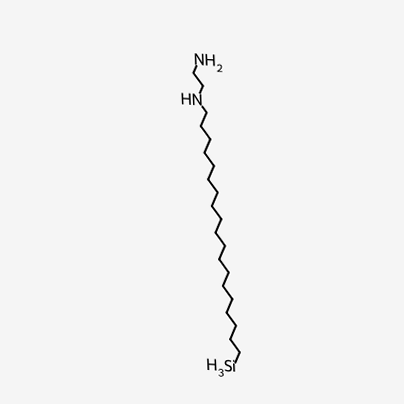 NCCNCCCCCCCCCCCCCCCCCCC[SiH3]